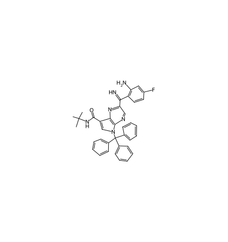 CC(C)(C)NC(=O)c1cn(C(c2ccccc2)(c2ccccc2)c2ccccc2)c2ncc(C(=N)c3ccc(F)cc3N)nc12